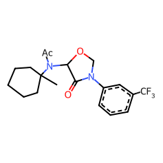 CC(=O)N(C1OCN(c2cccc(C(F)(F)F)c2)C1=O)C1(C)CCCCC1